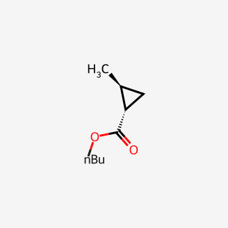 CCCCOC(=O)[C@H]1C[C@@H]1C